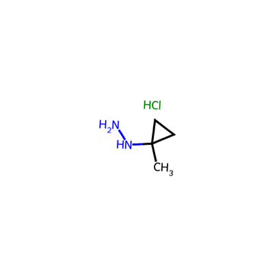 CC1(NN)CC1.Cl